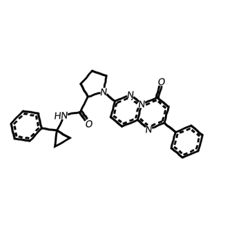 O=C(NC1(c2ccccc2)CC1)C1CCCN1c1ccc2nc(-c3ccccc3)cc(=O)n2n1